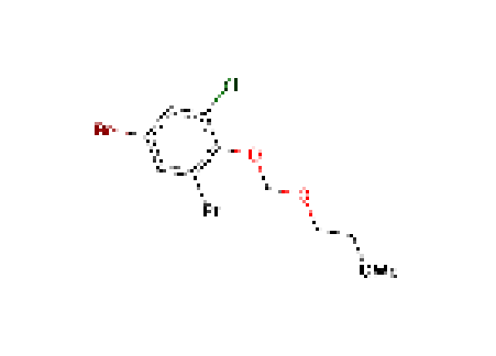 CCc1cc(Br)cc(Cl)c1OCOCCOC